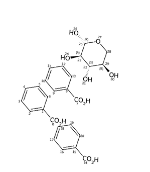 O=C(O)c1ccccc1.O=C(O)c1ccccc1.O=C(O)c1ccccc1.O[C@@H]1[C@@H](O)[C@H](O)OC[C@H]1O